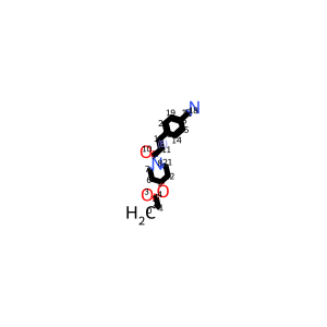 C=CC(=O)OC1CCN(C(=O)/C=C/c2ccc(C#N)cc2)CC1